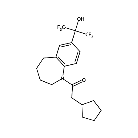 O=C(CC1CCCC1)N1CCCCc2cc(C(O)(C(F)(F)F)C(F)(F)F)ccc21